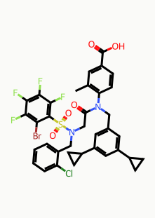 Cc1cc(C(=O)O)ccc1N(Cc1cc(C2CC2)cc(C2CC2)c1)C(=O)CN(Cc1ccccc1Cl)S(=O)(=O)c1c(F)c(F)c(F)c(F)c1Br